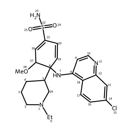 CCN1CCCC(C2(Nc3ccnc4cc(Cl)ccc34)C=CC(S(N)(=O)=O)=CC2OC)C1